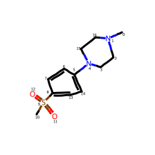 CN1CCN(c2c[c]c(S(C)(=O)=O)cc2)CC1